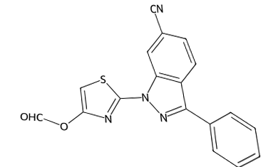 N#Cc1ccc2c(-c3ccccc3)nn(-c3nc(OC=O)cs3)c2c1